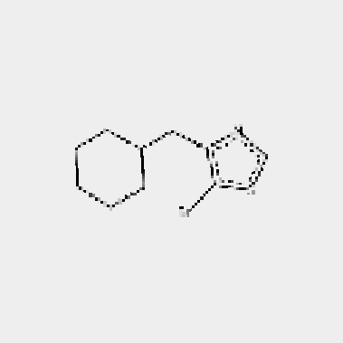 Brc1scnc1CC1CCCCC1